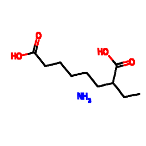 CCC(CCCCCC(=O)O)C(=O)O.N